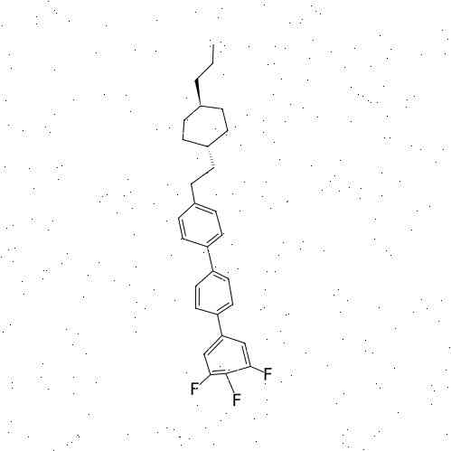 CCC[C@H]1CC[C@H](CCc2ccc(-c3ccc(-c4cc(F)c(F)c(F)c4)cc3)cc2)CC1